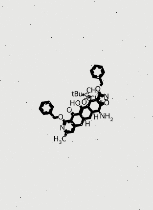 Cc1cc2c(c(OCc3ccccc3)n1)C(=O)C1=C(O)C3(O[Si](C)(C)C(C)(C)C)C(=O)c4c(OCc5ccccc5)noc4[C@@H](N)[C@@H]3C[C@@H]1C2